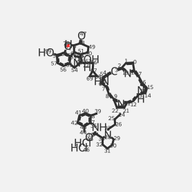 C1=Cc2cc3ccc(cc4nc(cc5ccc(cc1n2)[nH]5)C=C4)[nH]3.CCCCN1CCCCC1C(=O)Nc1c(C)cccc1C.Cl.Cl.O=C1CC[C@@]2(O)[C@H]3Cc4ccc(O)c5c4[C@@]2(CCN3CC2CC2)[C@H]1O5